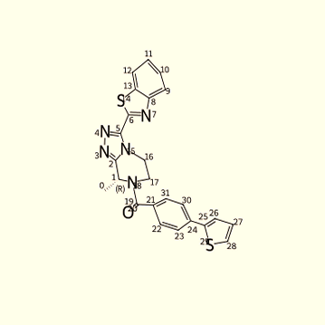 C[C@@H]1c2nnc(-c3nc4ccccc4s3)n2CCN1C(=O)c1ccc(-c2cccs2)cc1